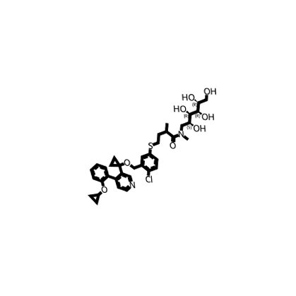 CC(CCSc1ccc(Cl)c(COC2(c3cnccc3-c3ccccc3OC3CC3)CC2)c1)C(=O)N(C)C[C@H](O)[C@@H](O)[C@H](O)[C@H](O)CO